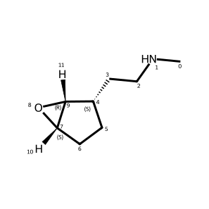 CNCC[C@@H]1CC[C@@H]2O[C@H]12